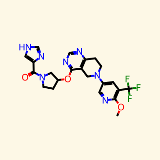 COc1ncc(N2CCc3ncnc(OC4CCN(C(=O)c5c[nH]cn5)C4)c3C2)cc1C(F)(F)F